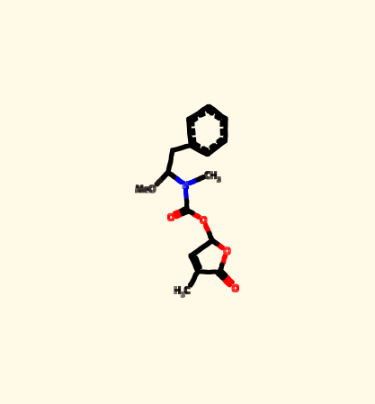 COC(Cc1ccccc1)N(C)C(=O)OC1C=C(C)C(=O)O1